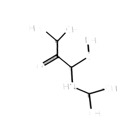 CC(C)NC(SP)C(=O)C(C)C